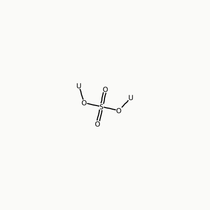 O=S(=O)([O][U])[O][U]